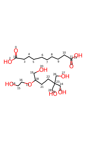 O=C(O)CCCCCCCCC(=O)O.OCCOC(CO)CCC(CO)(CO)CO